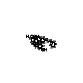 C[C@]1(O)CC[C@H]2[C@@H]3CCc4cc(O)ccc4[C@H]3[C@@H](c3ccc(OCCN4CCCCC4)cc3)C[C@@]21C